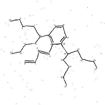 C=CN=Nc1c(C(CCCC)CCCC)cccc1C(CCCC)CCCC